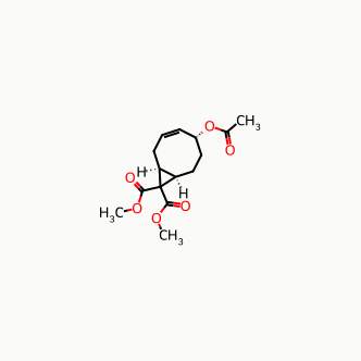 COC(=O)C1(C(=O)OC)[C@@H]2CC[C@@H](OC(C)=O)/C=C\C[C@@H]21